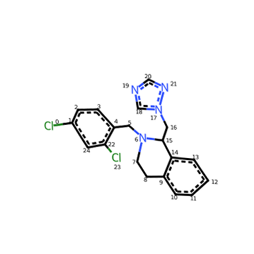 Clc1ccc(CN2CCc3ccccc3C2Cn2cncn2)c(Cl)c1